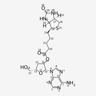 Nc1ncnc2c1ncn2[C@@H]1O[C@H](CO)CC1OC(=O)CCCC[C@@H]1SC[C@@H]2NC(=O)N[C@@H]21